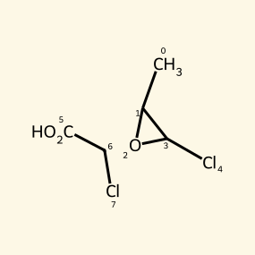 CC1OC1Cl.O=C(O)CCl